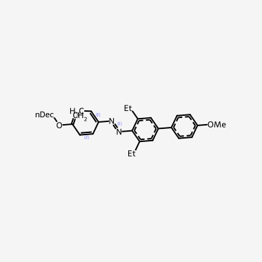 C=C(\C=C/C(=C\C)/N=N/c1c(CC)cc(-c2ccc(OC)cc2)cc1CC)OCCCCCCCCCC